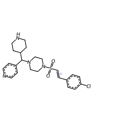 O=S(=O)(/C=C/c1ccc(Cl)cc1)N1CCN(C(c2ccncc2)C2CCNCC2)CC1